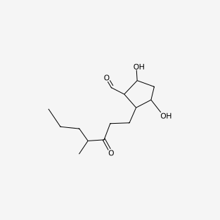 CCCC(C)C(=O)CCC1C(O)CC(O)C1C=O